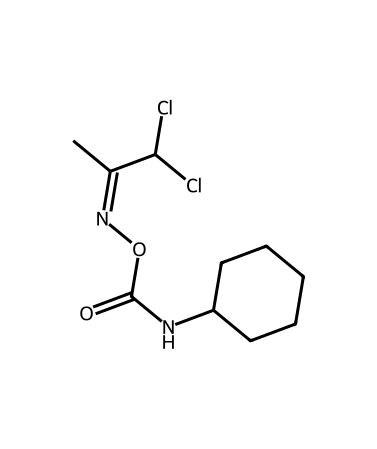 CC(=NOC(=O)NC1CCCCC1)C(Cl)Cl